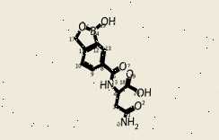 NC(=O)CC(NC(=O)c1ccc2c(c1)B(O)OC2)C(=O)O